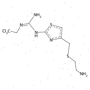 NCCSCc1csc(N/C(N)=N\CC(Cl)(Cl)Cl)n1